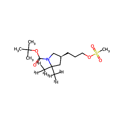 [2H]C([2H])([2H])C1(C([2H])([2H])[2H])C[C@H](CCCOS(C)(=O)=O)CN1C(=O)OC(C)(C)C